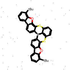 CC(C)(C)c1cccc2c1oc1c3c(ccc12)B1c2ccc4c(oc5c(C(C)(C)C)cccc54)c2Sc2cccc(c21)S3